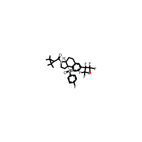 CC1(C)C(C(=O)N2CC[C@]3(S(=O)(=O)c4ccc(F)cc4)c4ccc(C(F)(C(F)(F)F)C(F)(F)F)cc4CC[C@H]23)C1(C)C